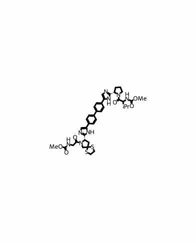 COC(=O)NCC(=O)N1CC2(C[C@H]1c1ncc(-c3ccc(-c4ccc(-c5cnc([C@@H]6CCCN6C(=O)C(NC(=O)OC)C(C)C)[nH]5)cc4)cc3)[nH]1)SCCS2